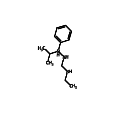 CCNCN[SiH](c1ccccc1)C(C)C